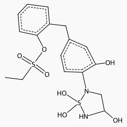 CCS(=O)(=O)Oc1ccccc1Cc1ccc(N2CC(O)NS2(O)O)c(O)c1